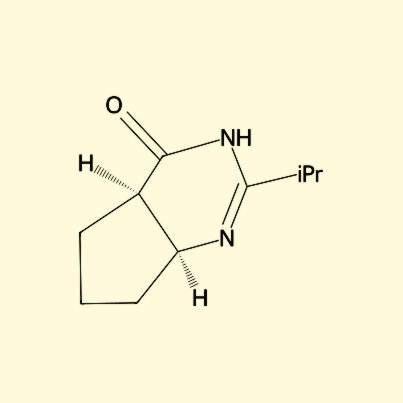 CC(C)C1=N[C@H]2CCC[C@H]2C(=O)N1